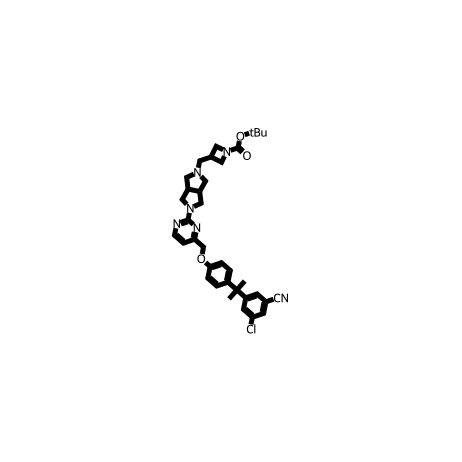 CC(C)(C)OC(=O)N1CC(CN2CC3CN(c4nccc(COc5ccc(C(C)(C)c6cc(Cl)cc(C#N)c6)cc5)n4)CC3C2)C1